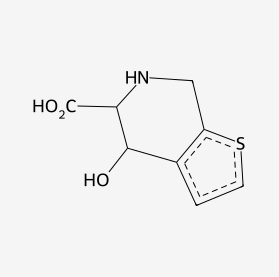 O=C(O)C1NCc2sccc2C1O